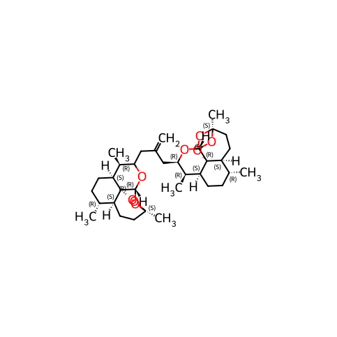 C=C(CC1O[C@@H]2O[C@]3(C)CC[C@H]4[C@H](C)CC[C@@H]([C@H]1C)[C@@]24OO3)C[C@H]1O[C@@H]2O[C@]3(C)CC[C@H]4[C@H](C)CC[C@@H]([C@H]1C)[C@@]24OO3